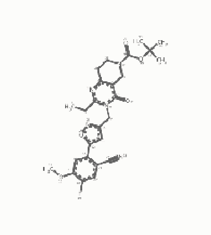 CCc1nc2c(c(=O)n1Cc1cc(-c3cc(OC)c(F)cc3C#N)on1)CN(C(=O)OC(C)(C)C)CC2